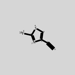 C#Cc1csc([18F])n1